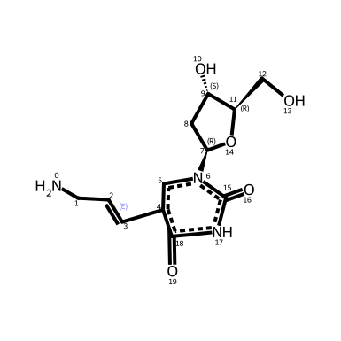 NC/C=C/c1cn([C@H]2C[C@H](O)[C@@H](CO)O2)c(=O)[nH]c1=O